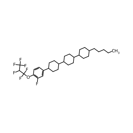 CCCCCC1CCC(C2CCC(C3CCC(c4ccc(OC(F)(F)C(F)C(F)(F)F)c(F)c4)CC3)CC2)CC1